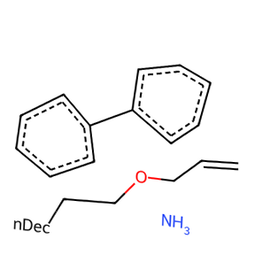 C=CCOCCCCCCCCCCCC.N.c1ccc(-c2ccccc2)cc1